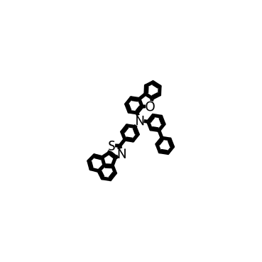 c1ccc(-c2cccc(N(c3ccc(-c4nc5c(s4)-c4cccc6cccc-5c46)cc3)c3cccc4c3oc3ccccc34)c2)cc1